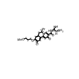 COCCCOc1cc2c(cc1Cl)-c1cc(=O)c(C(=O)NC(=N)NN)cn1C(C(C)C)C2